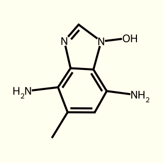 Cc1cc(N)c2c(ncn2O)c1N